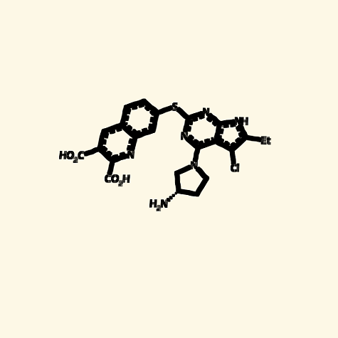 CCc1[nH]c2nc(Sc3ccc4cc(C(=O)O)c(C(=O)O)nc4c3)nc(N3CC[C@H](N)C3)c2c1Cl